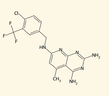 Cc1cc(NCc2ccc(Cl)c(C(F)(F)F)c2)nc2nc(N)nc(N)c12